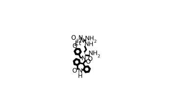 CCOc1ccc(CN(C(=O)C2c3ccccc3NC(=O)c3ccccc32)[C@H](CCCNC(N)=N[N+](=O)[O-])C(N)=O)cc1